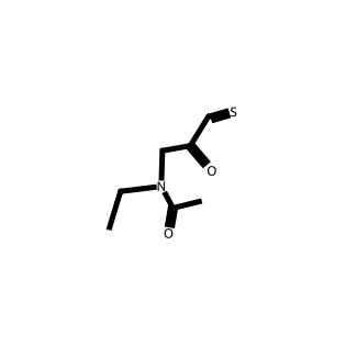 CCN(CC(=O)[C]=S)C(C)=O